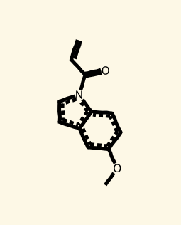 C=CC(=O)n1ccc2cc(OC)ccc21